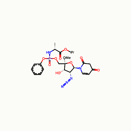 CO[C@]1(CO[P@@](=O)(N[C@H](C)C(=O)OC(C)C)Oc2ccccc2)O[C@@H](N2C=CC(=O)CC2=O)[C@H](N=[N+]=[N-])[C@@H]1O